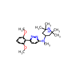 COc1cccc(OC)c1-c1ccc(N(C)C2CC(C)(C)NC(C)(C)C2)nn1